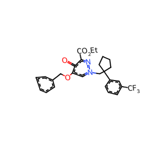 CCOC(=O)c1nn(CC2(c3cccc(C(F)(F)F)c3)CCCC2)cc(OCc2ccccc2)c1=O